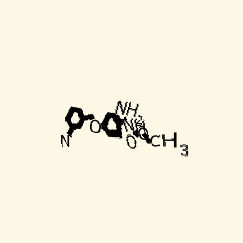 CCOC(=O)Nc1ccc(OCc2cccc(C#N)c2)cc1N